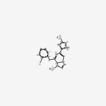 CN1C=NN2C=C(c3nc(C(F)(F)F)n[nH]3)N=C(Cc3ccccc3F)C12